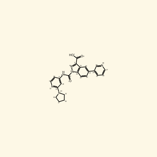 O=C(O)c1nn(C(=O)Nc2ccnc(N3CCCC3)c2)c2ccc(-c3cccnc3)cc12